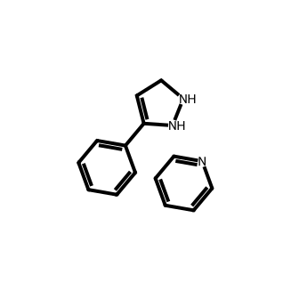 C1=C(c2ccccc2)NNC1.c1ccncc1